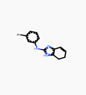 CC(=O)c1cccc(Nc2nc3c([nH]2)CCC=C3)c1